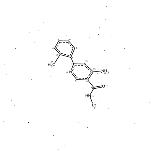 CCNC(=O)c1cnc(-c2ccccc2C)nc1N